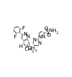 CC1(C)[C@H]2CC[C@]1(c1ccnc(-n3ccc(S(N)(=O)=O)n3)n1)c1nnc(-c3c(F)cccc3F)cc12